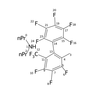 CCCNCCC.Cc1c(F)c(F)c(F)c(C(F)(F)F)c1-c1c(F)c(F)c(F)c(F)c1F